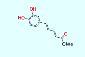 COC(=O)/C=C/C=C/c1ccc(O)c(O)c1